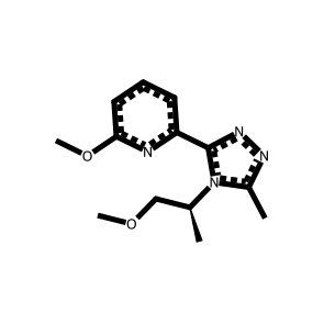 COC[C@H](C)n1c(C)nnc1-c1cccc(OC)n1